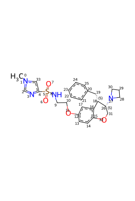 Cn1cnc(S(=O)(=O)NCCOc2ccc3c(c2)[C@H](Cc2ccccc2)[C@H](N2CCC2)CO3)c1